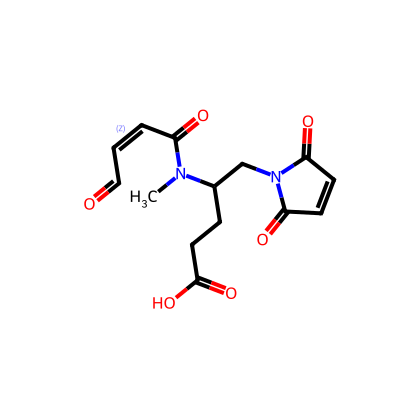 CN(C(=O)/C=C\C=O)C(CCC(=O)O)CN1C(=O)C=CC1=O